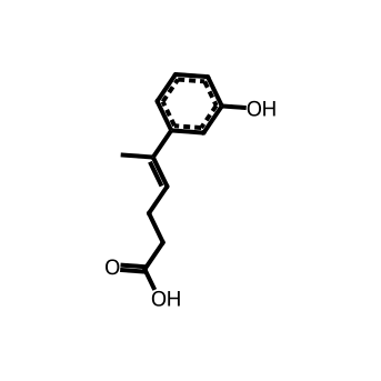 CC(=CCCC(=O)O)c1cccc(O)c1